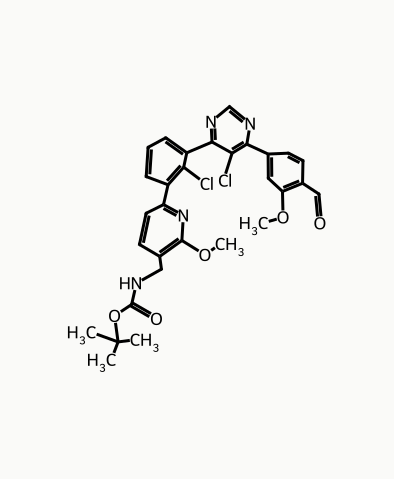 COc1cc(-c2ncnc(-c3cccc(-c4ccc(CNC(=O)OC(C)(C)C)c(OC)n4)c3Cl)c2Cl)ccc1C=O